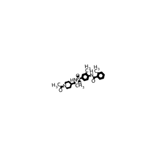 CC(=O)N1CCC(C(C)NS(=O)(=O)c2ccc(NC(=O)c3ccccc3C)c(C)c2)CC1